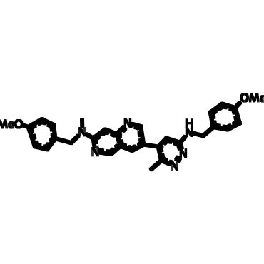 COc1ccc(CNc2cc(-c3cnc4cc(N(C)Cc5ccc(OC)cc5)ncc4c3)c(C)nn2)cc1